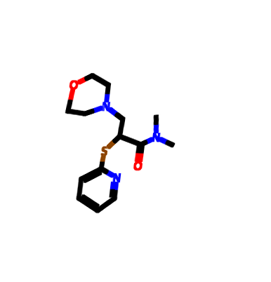 CN(C)C(=O)C(CN1CCOCC1)Sc1ccccn1